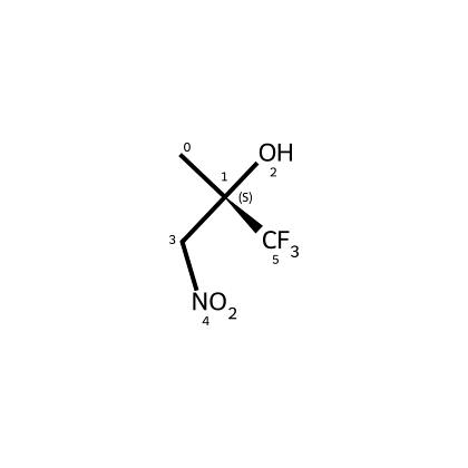 C[C@](O)(C[N+](=O)[O-])C(F)(F)F